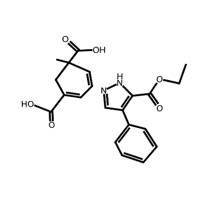 CC1(C(=O)O)C=CC=C(C(=O)O)C1.CCOC(=O)c1[nH]ncc1-c1ccccc1